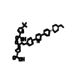 CC[C@H]1CC[C@H](c2ccc(-c3ccc(-c4ccc(C[C@H](NC(=O)c5ccc(C(C)(C)C)s5)C(=O)N5CC(C(=O)O)C5)cc4)nc3)cc2)CC1